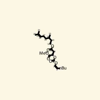 CCCC/C=C\OC(=O)OC(CC(=O)OCCC(C)CCC=C(C)C)C(=O)OC